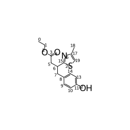 CCOC(=O)CC(Cc1ccc(O)cc1)c1nc(C)cs1